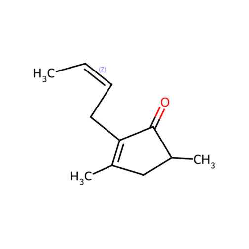 C/C=C\CC1=C(C)CC(C)C1=O